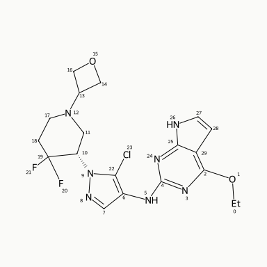 CCOc1nc(Nc2cnn([C@H]3CN(C4COC4)CCC3(F)F)c2Cl)nc2[nH]ccc12